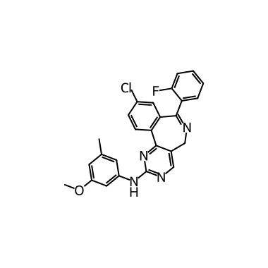 COc1cc(C)cc(Nc2ncc3c(n2)-c2ccc(Cl)cc2C(c2ccccc2F)=NC3)c1